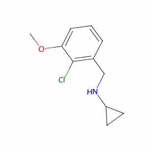 COc1cccc(CNC2CC2)c1Cl